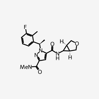 CNC(=O)c1cc(C(=O)NC2[C@H]3COC[C@@H]23)n([C@H](C)c2cccc(F)c2C)n1